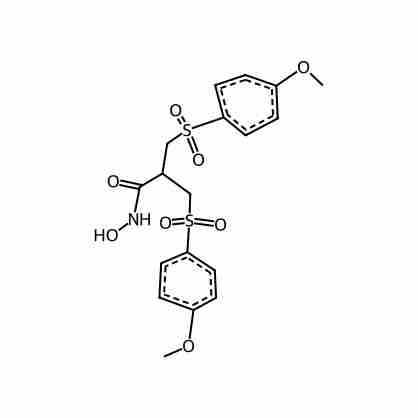 COc1ccc(S(=O)(=O)CC(CS(=O)(=O)c2ccc(OC)cc2)C(=O)NO)cc1